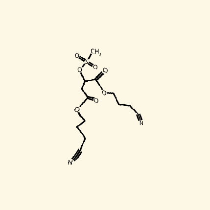 CS(=O)(=O)OC(CC(=O)OCCCC#N)C(=O)OCCCC#N